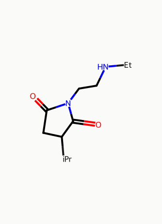 CCNCCN1C(=O)CC(C(C)C)C1=O